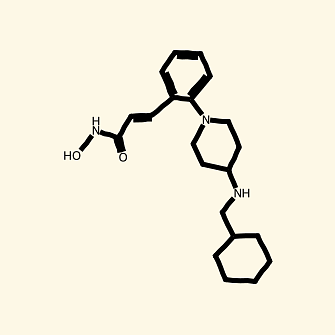 O=C(C=Cc1ccccc1N1CCC(NCC2CCCCC2)CC1)NO